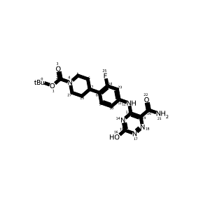 CC(C)(C)OC(=O)N1CCC(c2ccc(Nc3nc(O)nnc3C(N)=O)cc2F)CC1